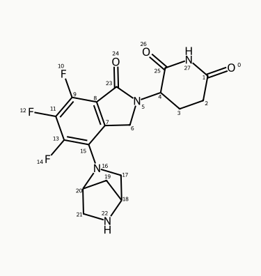 O=C1CCC(N2Cc3c(c(F)c(F)c(F)c3N3CC4CC3CN4)C2=O)C(=O)N1